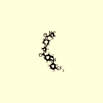 O=C(c1ccc2c(cnn2-c2cccc(C(F)(F)F)c2)c1)N1CC(N2CCN(C(=O)c3nccs3)CC2)C1